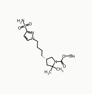 CC(C)(C)OC(=O)N1C[C@@H](CCCCn2ccc(S(N)(=O)=O)n2)CC1(C)C